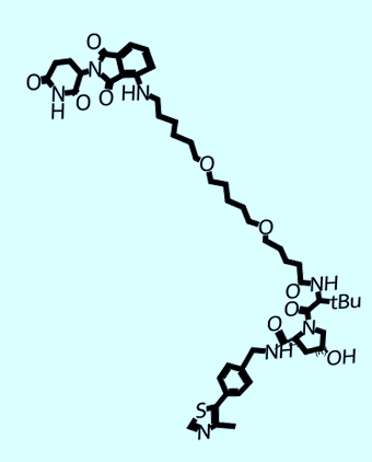 Cc1ncsc1-c1ccc(CNC(=O)[C@@H]2C[C@@H](O)CN2C(=O)C(NC(=O)CCCCOCCCCCOCCCCCCNc2cccc3c2C(=O)N(C2CCC(=O)NC2=O)C3=O)C(C)(C)C)cc1